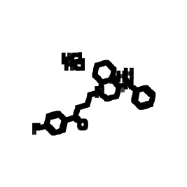 Cl.Cl.O=C(CCCN1CC[C@H](Nc2ccccc2)[C@@H]2CCCCC21)c1ccc(F)cc1